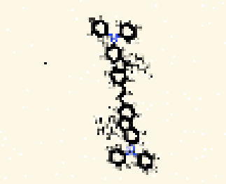 CC1(C)C2=CC(N(c3ccccc3)C3C=CC=CC3)=CCC2c2ccc(/C=C/c3ccc4c(c3)C(C)(C)c3cc(N(c5ccccc5)c5ccccc5)ccc3-4)cc21